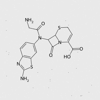 NCC(=O)N(c1ccc2nc(N)sc2c1)C1C(=O)N2C(C(=O)O)=CCSC12